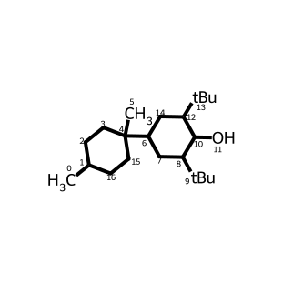 CC1CCC(C)(C2CC(C(C)(C)C)C(O)C(C(C)(C)C)C2)CC1